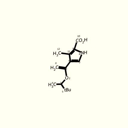 C=C(OC(C)C(C)(C)C)c1c[nH]c(C(=O)O)c1C